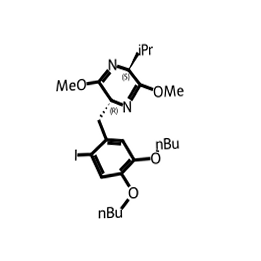 CCCCOc1cc(I)c(C[C@H]2N=C(OC)[C@H](C(C)C)N=C2OC)cc1OCCCC